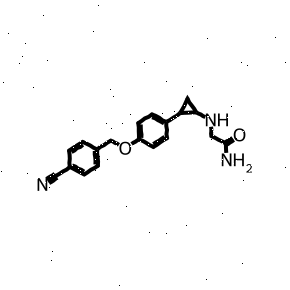 N#Cc1ccc(COc2ccc(C3CC3NCC(N)=O)cc2)cc1